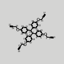 C#CCOc1ccc(C(c2ccc(OCC#C)cc2)C(c2ccc(OCC#C)cc2)c2ccc(OCC#C)cc2)cc1